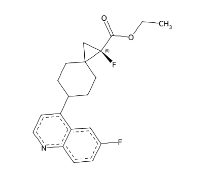 CCOC(=O)[C@@]1(F)CC12CCC(c1ccnc3ccc(F)cc13)CC2